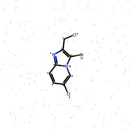 ClCc1nc2ccc(Cl)cn2c1Br